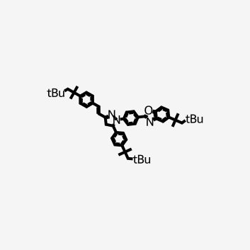 CC(C)(C)CC(C)(C)c1ccc(C=CC2=NN(c3ccc(-c4nc5cc(C(C)(C)CC(C)(C)C)ccc5o4)cc3)C(c3ccc(C(C)(C)CC(C)(C)C)cc3)C2)cc1